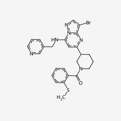 CSc1ccccc1C(=O)N1CCCC(c2cc(NCc3cccnc3)n3ncc(Br)c3n2)C1